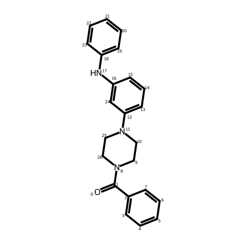 O=C(c1ccccc1)N1CCN(c2cccc(Nc3ccccc3)c2)CC1